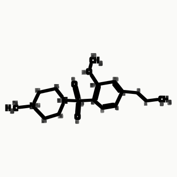 CCCc1ccc(S(=O)(=O)N2CCN(C)CC2)c(OC)c1